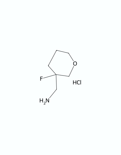 Cl.NCC1(F)CCCOC1